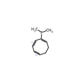 CP(C)C1=CCC/C=C\C=C/1